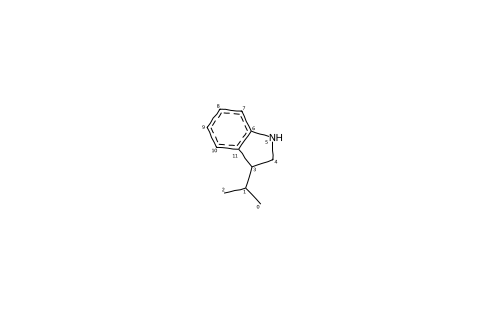 CC(C)C1CNc2ccccc21